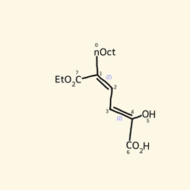 CCCCCCCC/C(=C/C=C(\O)C(=O)O)C(=O)OCC